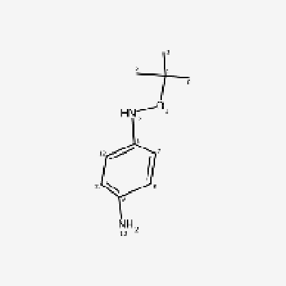 CC(C)(C)ONc1ccc(N)cc1